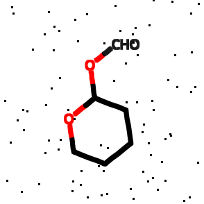 O=COC1CCCCO1